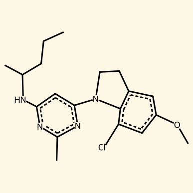 CCCC(C)Nc1cc(N2CCc3cc(OC)cc(Cl)c32)nc(C)n1